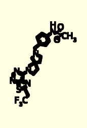 CS(=O)(=O)Nc1ccc(CN2CCC3(CCN(c4ncnc5sc(CC(F)(F)F)nc45)C3)C2)cc1